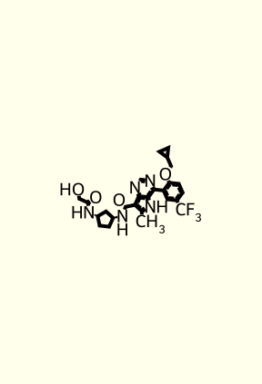 Cc1[nH]c2c(-c3cc(C(F)(F)F)ccc3OCC3CC3)ncnc2c1C(=O)N[C@H]1CC[C@H](NC(=O)CO)C1